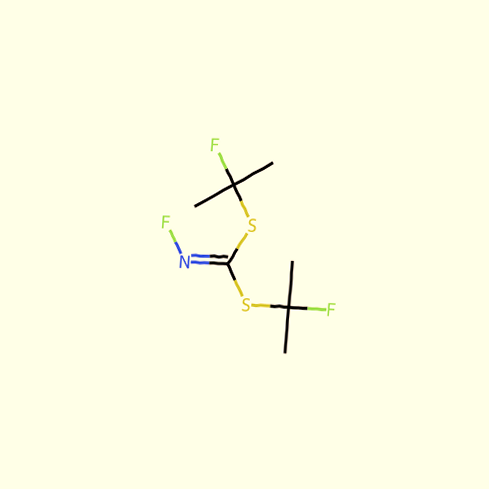 CC(C)(F)SC(=NF)SC(C)(C)F